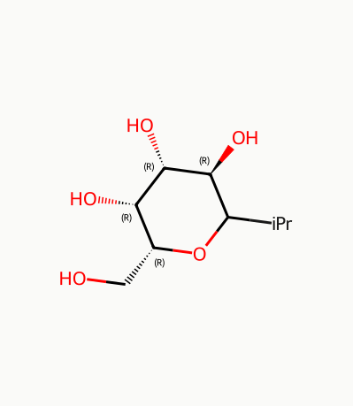 CC(C)C1O[C@H](CO)[C@H](O)[C@H](O)[C@H]1O